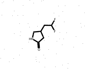 O=C1CC(CC(F)F)CN1